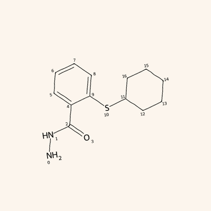 NNC(=O)c1ccccc1SC1CCCCC1